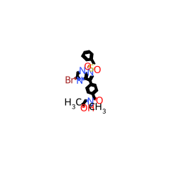 C[C@H](O)CN(C)C(=O)c1ccc(-c2cn(S(=O)(=O)Cc3ccccc3)c3ncc(Br)nc23)cc1